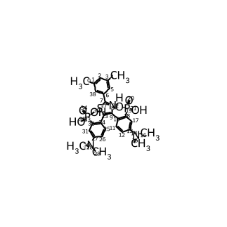 Cc1cc(C)cc(-c2nc(-c3ccc(N(C)C)cc3P(=O)(O)O)c(-c3ccc(N(C)C)cc3P(=O)(O)O)s2)c1